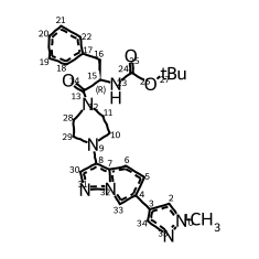 Cn1cc(-c2ccc3c(N4CCN(C(=O)[C@@H](Cc5ccccc5)NC(=O)OC(C)(C)C)CC4)cnn3c2)cn1